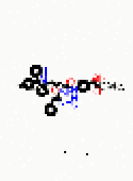 COC(=O)C(O)c1ccc(NC(=O)[C@H](CCCCNC(c2ccccc2)(c2ccccc2)c2ccc(C)cc2)NC(=O)[C@@H](N)Cc2ccccc2)cc1